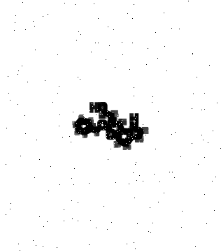 O=C(OCc1ccccc1)N(CCO)Cc1cccc2c1NCC2